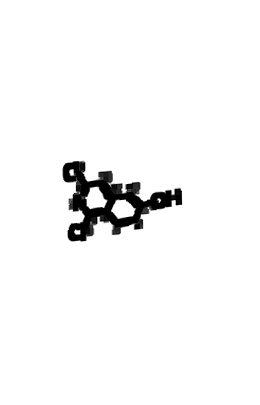 Oc1ccc2c(Cl)nc(Cl)cc2c1